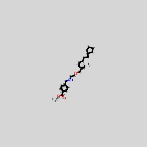 C/C=C(\C=C/CCCC1CCCC1)COCCNCc1ccc(C(=O)OC)cc1